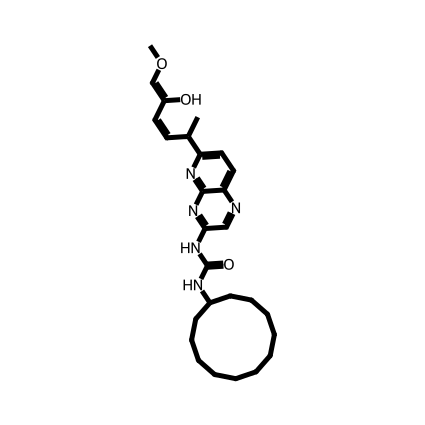 CO/C=C(O)/C=C\C(C)c1ccc2ncc(NC(=O)NC3CCCCCCCCCCC3)nc2n1